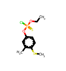 CCOP(=S)(Cl)Oc1ccc(SC)c(C)c1